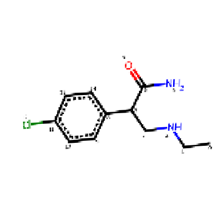 CCNCC(C(N)=O)c1ccc(Cl)cc1